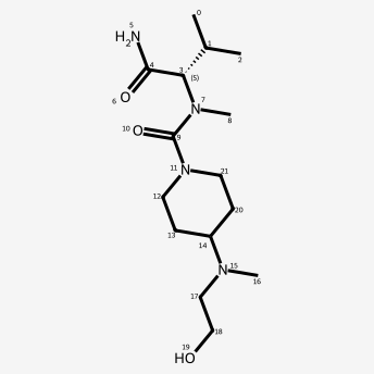 CC(C)[C@@H](C(N)=O)N(C)C(=O)N1CCC(N(C)CCO)CC1